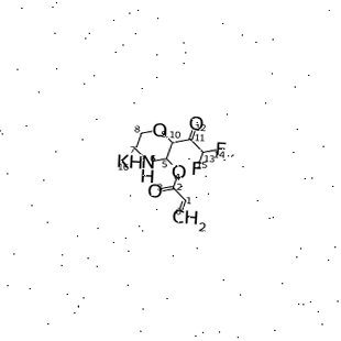 C=CC(=O)OC1NCCOC1C(=O)C(F)F.[KH]